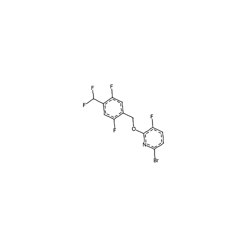 Fc1cc(C(F)F)c(F)cc1COc1nc(Br)ccc1F